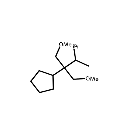 COCC(COC)(C1CCCC1)C(C)C(C)C